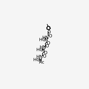 CC(=O)N(O)CNC(=O)CC(=O)N(O)CNC(=O)CC(=O)N(O)CNC(=O)COc1ccc(C)cc1